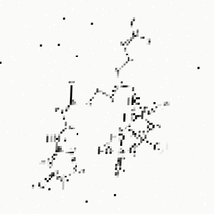 CC(C)=CCCC(C)=CCCC(C)=CCNc1cc[nH]c(=O)n1.O=P(O)(O)OP(=O)(O)OP(=O)(O)O